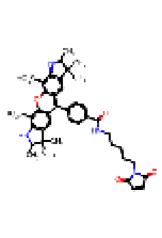 CC1N=c2c(cc3c(c2S(=O)(=O)O)Oc2c(cc4c(c2S(=O)(=O)O)NC(C)C4(C)C)C=3c2ccc(C(=O)NCCCCCN3C(=O)C=CC3=O)cc2)C1(C)C